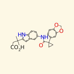 CC(C)(CC(=O)O)c1cc2cc(NC(=O)C3(c4ccc5c(c4)OCO5)CC3)ccc2[nH]1